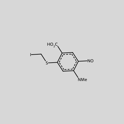 CNc1cc(SCI)c(C(=O)O)cc1N=O